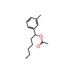 CCCCCC(OC(C)=O)c1cccc(C)c1